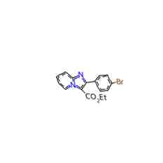 CCOC(=O)c1c(-c2ccc(Br)cc2)nc2ccccn12